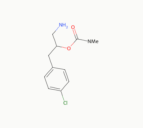 CNC(=O)OC(CN)Cc1ccc(Cl)cc1